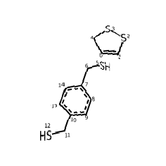 C1=CSSC1.SCc1ccc(CS)cc1